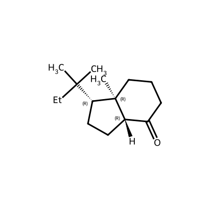 CCC(C)(C)[C@H]1CC[C@H]2C(=O)CCC[C@]12C